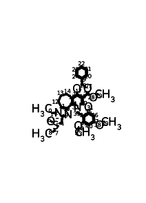 CCn1c(C[S+]([O-])CC)nc2c1CCCc1c(OCc3ccccc3)c(C(=O)OC)c(=O)n(Cc3ccc(OC)cc3OC)c1-2